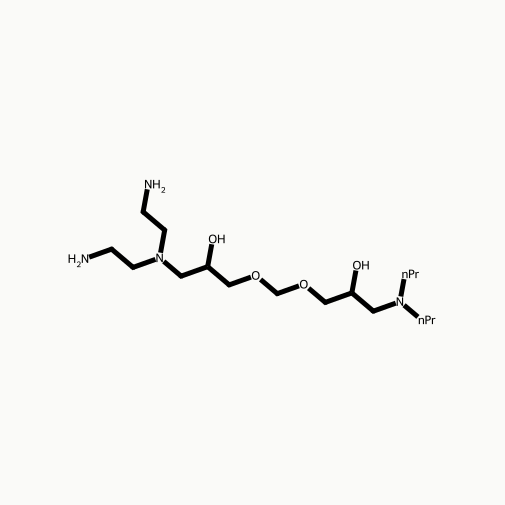 CCCN(CCC)CC(O)COCOCC(O)CN(CCN)CCN